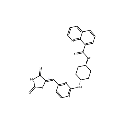 O=C1NC(=O)/C(=C/c2ccnc(N[C@H]3CC[C@H](NC(=O)c4cccc5cccnc45)CC3)n2)S1